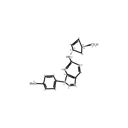 COc1ccc(-n2nnc3cnc(N[C@@H]4C=C[C@@H](C(=O)O)C4)nc32)cc1